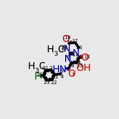 Cc1cc(CNC(=O)c2nc3n(c(=O)c2O)CCC(=O)N3C)ccc1F